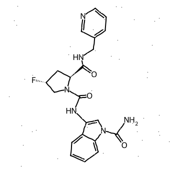 NC(=O)n1cc(NC(=O)N2C[C@H](F)C[C@H]2C(=O)NCc2cccnc2)c2ccccc21